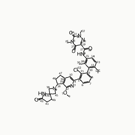 COc1nc(-c2cccc(-c3c(F)ccc(NC(=O)c4nn(C)c(=O)n(C)c4=O)c3C)c2Cl)cc2c1C(N1CC3(CCC(=O)N3)C1)CC2